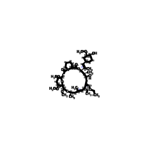 CCO/N=C1/C[C@H](O)[C@@H](C)[C@@H](/C(C)=C/[C@@H]2CC[C@@H](O)[C@H](OC)C2)OC(=O)[C@@H]2CCCCN2C(=O)C[C@]2(O)O[C@H]([C@@H](OC)C[C@@H](C)C/C(C)=C/[C@H]1CC)[C@@H](OC)C[C@H]2C